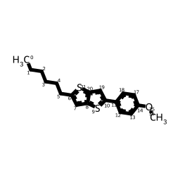 CCCCCCc1cc2sc(-c3ccc(OC)cc3)cc2s1